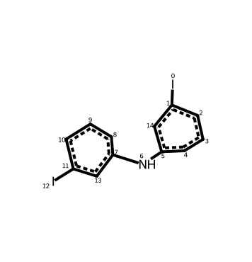 Ic1cccc(Nc2cccc(I)c2)c1